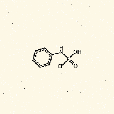 O=P(O)(Cl)Nc1ccccc1